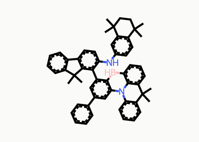 CC1(C)CCC(C)(C)c2cc(Nc3ccc4c(c3-c3cc(-c5ccccc5)cc5c3Bc3cccc6c3N5c3ccccc3C6(C)C)C(C)(C)c3ccccc3-4)ccc21